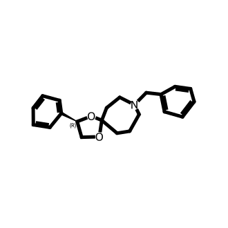 c1ccc(CN2CCCC3(CC2)OC[C@@H](c2ccccc2)O3)cc1